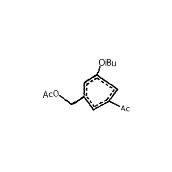 CC(=O)OCc1cc(OCC(C)C)cc(C(C)=O)c1